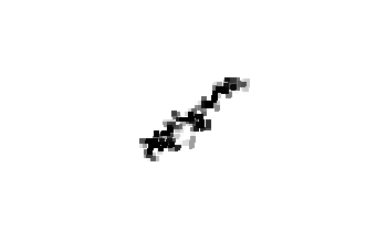 CC(CF)(CCO)OCCOCC(O)COCCCCO